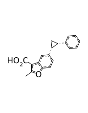 Cc1oc2ccc([C@@H]3C[C@@H]3c3ccccc3)cc2c1C(=O)O